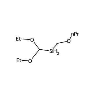 CCCO[CH][SiH2]C(OCC)OCC